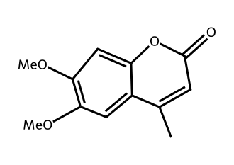 COc1cc2oc(=O)cc(C)c2cc1OC